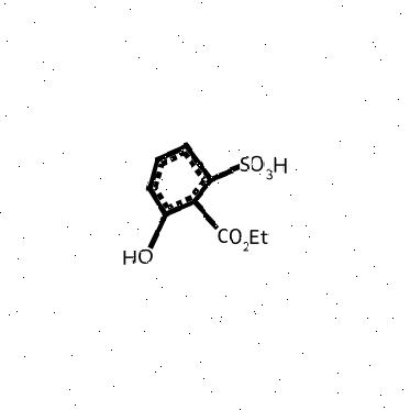 CCOC(=O)c1c(O)cccc1S(=O)(=O)O